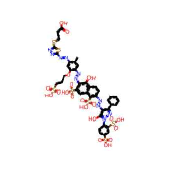 Cc1cc(N=Nc2c(S(=O)(=O)O)cc3c(S(=O)(=O)O)c(N=Nc4c(-c5ccccc5)nn(-c5ccc(S(=O)(=O)O)cc5S(=O)(=O)O)c4O)ccc3c2O)c(OCCCS(=O)(=O)O)cc1N=Nc1nnc(SCCC(=O)O)s1